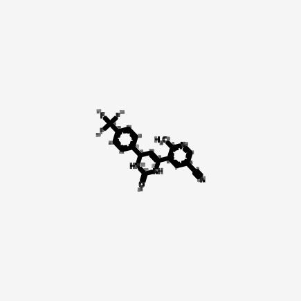 Cc1ncc(C#N)cc1C1=CC(c2ccc(C(F)(F)F)cc2)NC(=O)N1